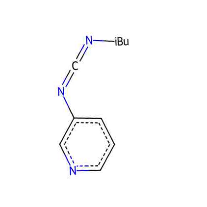 CCC(C)N=C=Nc1cccnc1